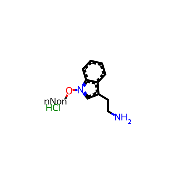 CCCCCCCCCOn1cc(CCN)c2ccccc21.Cl